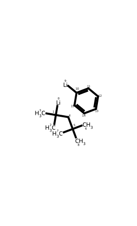 [Li][C](C)(C)CC(C)(C)C.[Li][c]1ccccc1